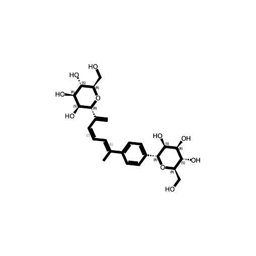 C=C(/C=C\C=C(/C)c1ccc([C@H]2O[C@H](CO)[C@@H](O)[C@H](O)[C@@H]2O)cc1)[C@H]1O[C@H](CO)[C@@H](O)[C@H](O)[C@@H]1O